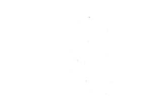 O=S(=O)(O)c1cccc(P(c2ccccc2)c2cccc(S(=O)(=O)O)c2)c1